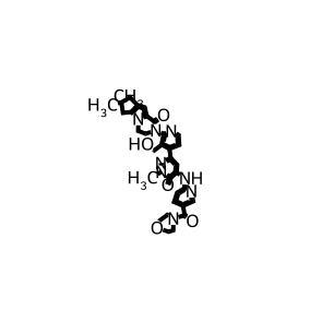 Cn1nc(-c2ccnc(N3CCn4c(cc5c4CC(C)(C)C5)C3=O)c2CO)cc(Nc2ccc(C(=O)N3CCOCC3)cn2)c1=O